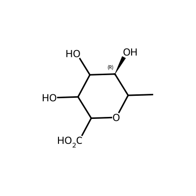 CC1OC(C(=O)O)C(O)C(O)[C@H]1O